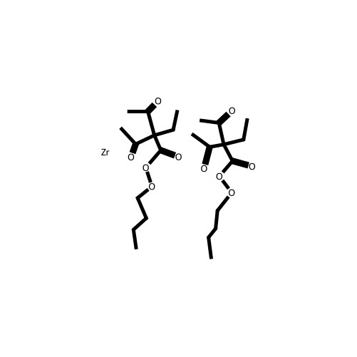 CCCCOOC(=O)C(CC)(C(C)=O)C(C)=O.CCCCOOC(=O)C(CC)(C(C)=O)C(C)=O.[Zr]